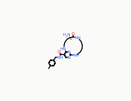 Cc1ccc(CNC(=O)c2cnc3nc2NCCC[C@H](N)C(=O)NCCCCCCN3)cc1